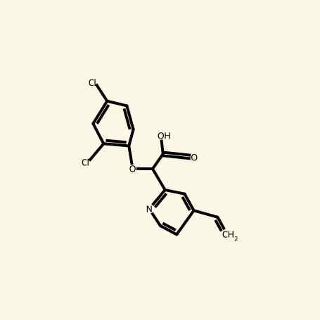 C=Cc1ccnc(C(Oc2ccc(Cl)cc2Cl)C(=O)O)c1